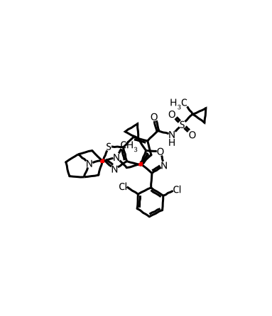 CN(Cc1c(-c2c(Cl)cccc2Cl)noc1C1CC1)C1CC2CCC(C1)N2c1nc2ccc(C(=O)NS(=O)(=O)C3(C)CC3)cc2s1